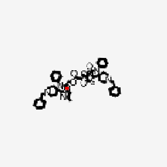 Cc1csc(C2(N(C(=O)COC(=O)C(=O)OCC(=O)N(c3ccccc3)C3(c4nc(C)cs4)CCN(Cc4ccccc4)CC3)c3ccccc3)CCN(Cc3ccccc3)CC2)n1